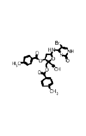 C#CC1(COC(=O)c2ccc(C)cc2)OC(Nc2nc(=O)[nH]cc2Br)CC1OC(=O)c1ccc(C)cc1